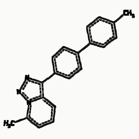 Cc1ccc(-c2ccc(-c3nnn4c(C)cccc34)cc2)cc1